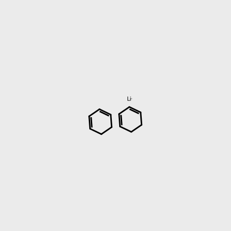 C1=CCCC=C1.C1=CCCC=C1.[Li]